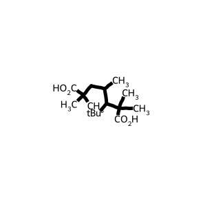 CC(CC(C)(C)C(=O)O)C(C(C)(C)C)C(C)(C)C(=O)O